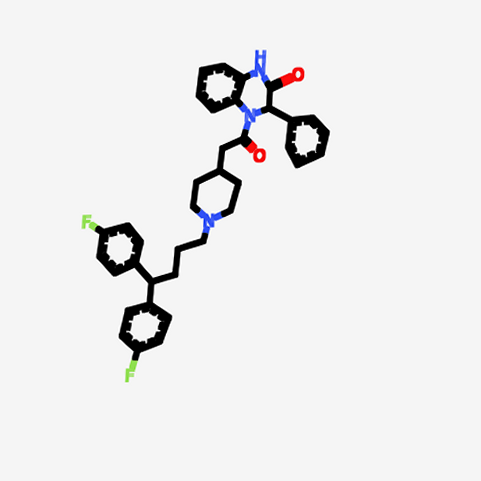 O=C1Nc2ccccc2N(C(=O)CC2CCN(CCCC(c3ccc(F)cc3)c3ccc(F)cc3)CC2)C1c1ccccc1